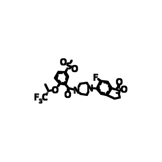 C[C@H](Oc1ccc(S(C)(=O)=O)cc1C(=O)N1CCN(c2cc3c(cc2F)S(=O)(=O)CC3)CC1)C(F)(F)F